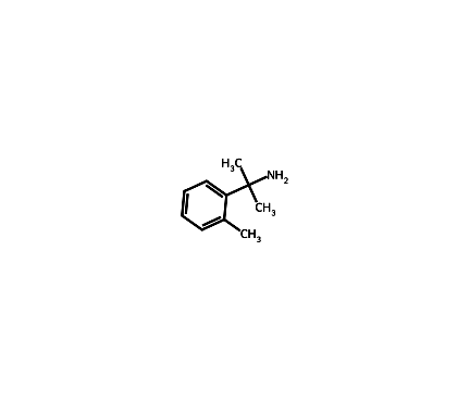 Cc1ccccc1C(C)(C)N